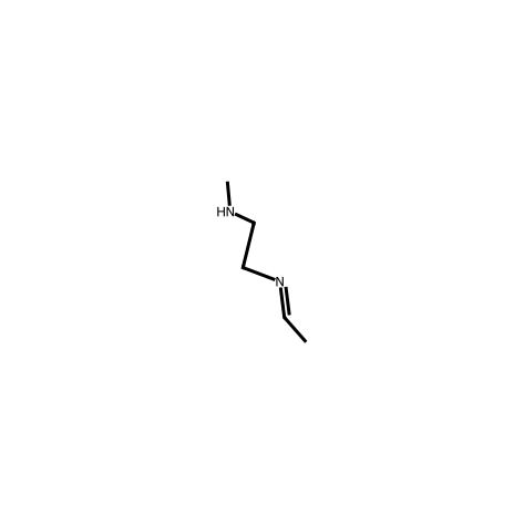 CC=NCCNC